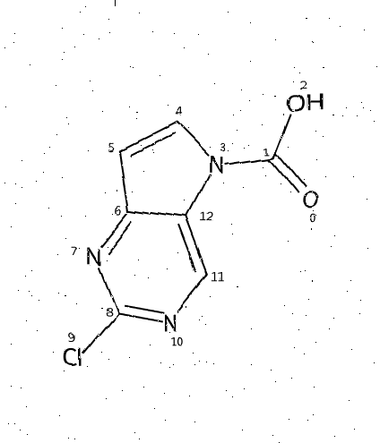 O=C(O)n1ccc2nc(Cl)ncc21